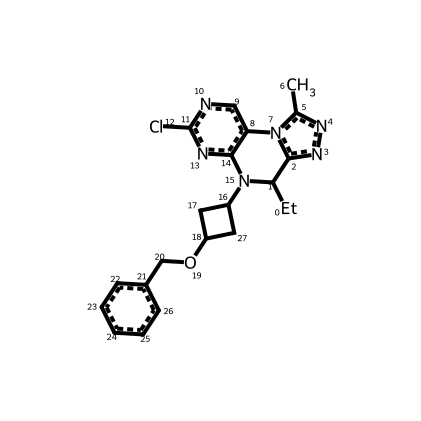 CCC1c2nnc(C)n2-c2cnc(Cl)nc2N1C1CC(OCc2ccccc2)C1